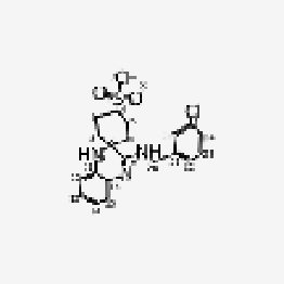 CS(=O)(=O)C1CCC2(CC1)Nc1ccccc1N=C2NCc1cccc(Cl)c1